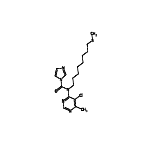 CSCCCCCCCCN(C(=O)n1ccnc1)c1ncnc(C)c1Cl